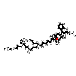 CCCCCCCCCCCCCN(CC)CCCN(C)CCCN(CCCCCCCCCCCCC)CCCCCC(=O)OC(C)(C)Cn1c(CNCC)nc2c(N)nc3ccccc3c21